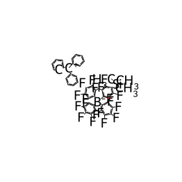 C[Si](C)(C)c1c(F)c(F)c([B-](c2c(F)c(F)c(F)c(F)c2F)(c2c(F)c(F)c(F)c(F)c2F)c2c(F)c(F)c(F)c(F)c2F)c(F)c1F.c1ccc([C+](c2ccccc2)c2ccccc2)cc1